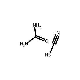 N#CS.NC(N)=O